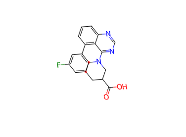 O=C(O)C1CCCN(c2ncnc3cccc(-c4cccc(F)c4)c23)C1